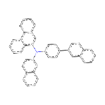 c1ccc2cc(-c3ccc(N(c4ccc5ccccc5c4)c4cc5ccccc5c5ccccc45)cc3)ccc2c1